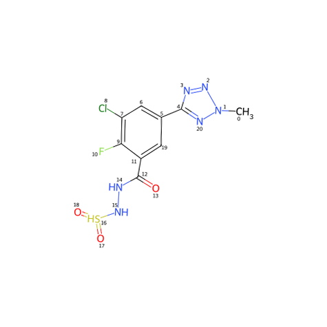 Cn1nnc(-c2cc(Cl)c(F)c(C(=O)NN[SH](=O)=O)c2)n1